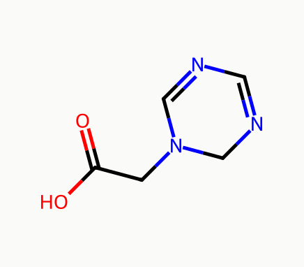 O=C(O)CN1C=NC=NC1